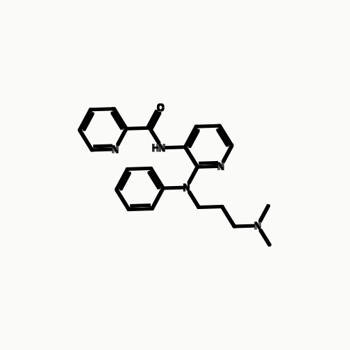 CN(C)CCCN(c1ccccc1)c1ncccc1NC(=O)c1ccccn1